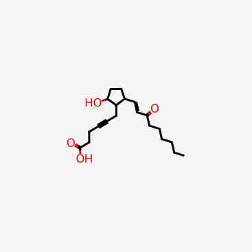 CCCCCCC(=O)C=CC1CCC(O)C1CC#CCCC(=O)O